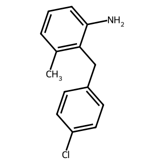 Cc1cccc(N)c1Cc1ccc(Cl)cc1